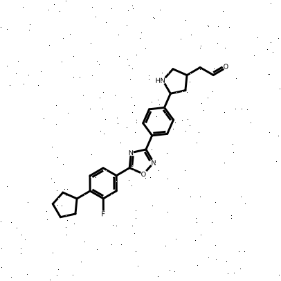 O=CCC1CNC(c2ccc(-c3noc(-c4ccc(C5CCCC5)c(F)c4)n3)cc2)C1